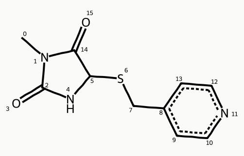 CN1C(=O)NC(SCc2ccncc2)C1=O